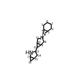 C1CCC2C(C1)N2N1CC2C(C1)C2C1CC2CC2N1